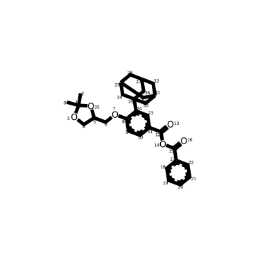 CC1(C)OCC(COc2ccc(C(=O)OC(=O)c3ccccc3)cc2C23CC4CC(CC(C4)C2)C3)O1